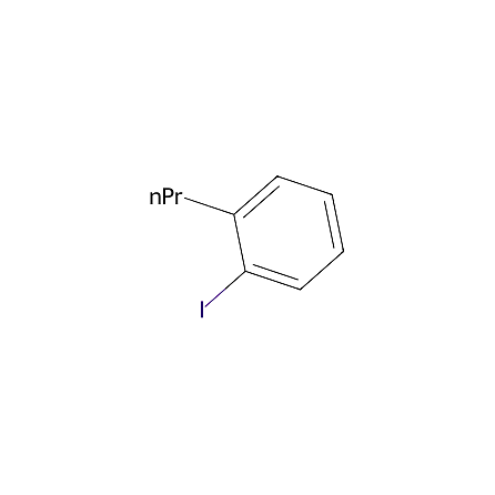 C[CH]Cc1ccccc1I